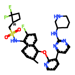 Cc1ccc2c(NS(=O)(=O)C[C@@H]3CCC3(F)F)c(F)ccc2c1Oc1ncccc1-c1ccnc(NC2CCCNC2)n1